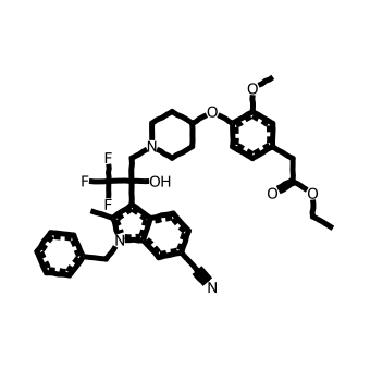 CCOC(=O)Cc1ccc(OC2CCN(CC(O)(c3c(C)n(Cc4ccccc4)c4cc(C#N)ccc34)C(F)(F)F)CC2)c(OC)c1